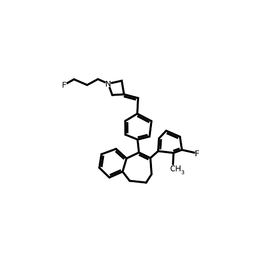 Cc1c(F)cccc1C1=C(c2ccc(C=C3CN(CCCF)C3)cc2)c2ccccc2CCC1